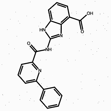 O=C(Nc1nc2c(C(=O)O)cccc2[nH]1)c1cccc(-c2ccccc2)n1